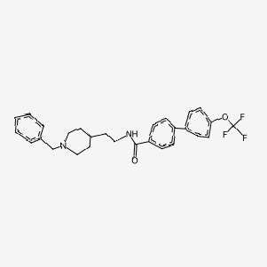 O=C(NCCC1CCN(Cc2ccccc2)CC1)c1ccc(-c2ccc(OC(F)(F)F)cc2)cc1